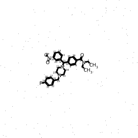 CCN(CC)C(=O)c1ccc(C(c2cccc([N+](=O)[O-])c2)N2CCN(Cc3ccc(F)cc3)CC2)cc1